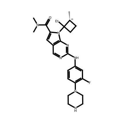 CCC1(n2c(C(=O)N(C)C)cc3cnc(Nc4ccc(N5CCNCC5)c(F)c4)nc32)CC[C@H]1C